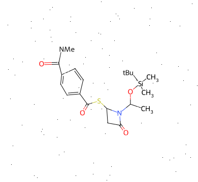 CNC(=O)c1ccc(C(=O)SC2CC(=O)N2C(C)O[Si](C)(C)C(C)(C)C)cc1